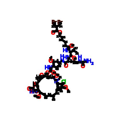 COc1cc(NC(=O)[C@H](CCCNC(N)=O)NC(=O)[C@@H](NC(=O)CCCCCOC(=O)C(CBr)CBr)C(C)C)ccc1NC(=O)O[C@H]1CC(=O)N(C)c2cc(cc(OC)c2Cl)C/C(C)=C/C=C/[C@@H](OC)[C@@]2(O)C[C@H](OC(=O)N2)[C@@H](C)[C@@H]2O[C@@]12C